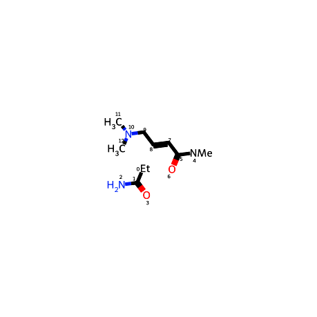 CCC(N)=O.CNC(=O)C=CCN(C)C